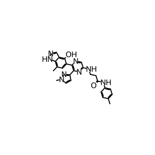 Cc1ccc(NC(=O)CCNc2cnc(-c3cc(C)c4[nH]ncc4c3O)c(-c3ccn(C)n3)n2)cc1